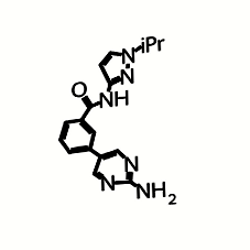 CC(C)n1ccc(NC(=O)c2cccc(-c3cnc(N)nc3)c2)n1